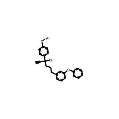 C#CC(CC)(CCCc1cccc(Oc2ccccc2)c1)c1ccc(OCCC)cc1